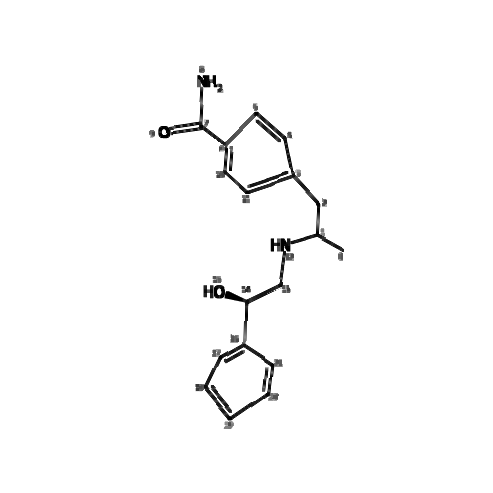 CC(Cc1ccc(C(N)=O)cc1)NC[C@H](O)c1ccccc1